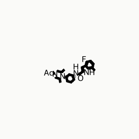 CC(=O)N1CC(C)N([C@@H]2CCC[C@@H](NC(=O)c3cc4c(F)ccc(C)c4[nH]3)C2)C(C)C1